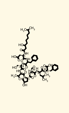 CC(C)CCCCCC(O)CC(=O)N[C@H](CC(=O)O)C(=O)NC(Cc1ccccc1)C(=O)N[C@@H](CO)C(=O)N[C@@H](C(=O)N1C[C@H](O)C[C@H]1C(=O)N[C@@H](CO)C(=O)N[C@H](CC(C)C)C(=O)N[C@@H](Cc1ccccc1)C(=O)O)C(C)C